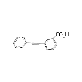 O=C(O)c1cccc(C#Cc2ccccc2)c1